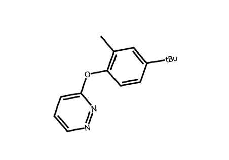 Cc1cc(C(C)(C)C)ccc1Oc1cccnn1